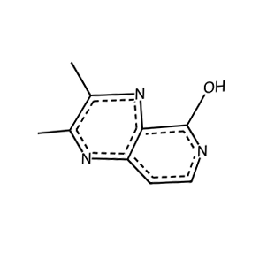 Cc1nc2ccnc(O)c2nc1C